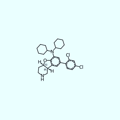 Clc1ccc(-c2cc3c(c(N(C4CCCCC4)C4CCCCC4)c2)O[C@H]2CCNC[C@@H]32)c(Cl)c1